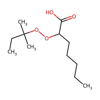 CCCCCC(OOC(C)(C)CC)C(=O)O